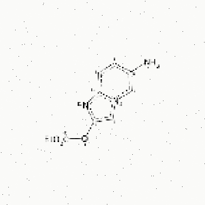 CCOC(=O)Oc1cn2cc(N)ccc2n1